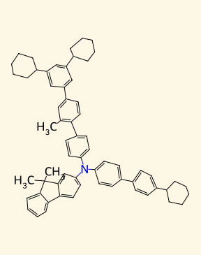 Cc1cc(-c2cc(C3CCCCC3)cc(C3CCCCC3)c2)ccc1-c1ccc(N(c2ccc(-c3ccc(C4CCCCC4)cc3)cc2)c2ccc3c(c2)C(C)(C)c2ccccc2-3)cc1